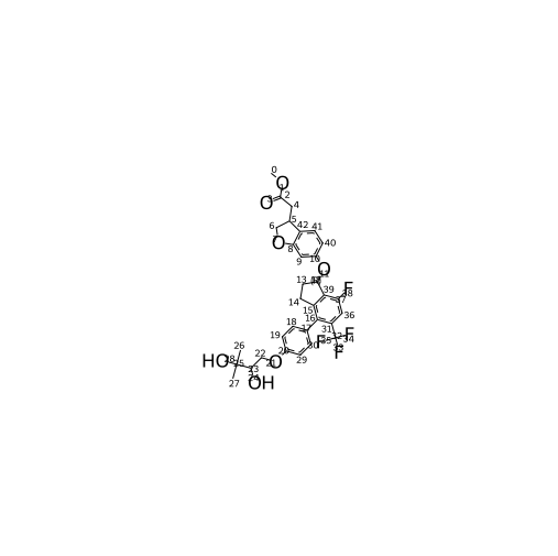 COC(=O)CC1COc2cc(O[C@@H]3CCc4c(-c5ccc(OCC(O)C(C)(C)O)cc5)c(C(F)(F)F)cc(F)c43)ccc21